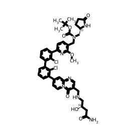 COc1nc(-c2cccc(-c3cccc(-c4ccn5c(=O)c(CNC[C@@H](O)CC(N)=O)cnc5c4)c3Cl)c2Cl)ccc1CN(C[C@@H]1CCC(=O)N1)C(=O)OC(C)(C)C